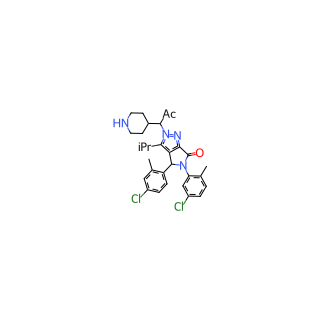 CC(=O)C(C1CCNCC1)n1nc2c(c1C(C)C)C(c1ccc(Cl)cc1C)N(c1cc(Cl)ccc1C)C2=O